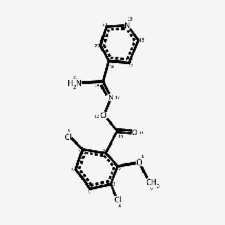 COc1c(Cl)ccc(Cl)c1C(=O)ON=C(N)c1ccncc1